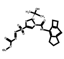 CC(C)(C)OC(=O)N=NS(=O)(=O)C1=CN(C(=O)Nc2c3c(cc4c2CC4)CCC3)[C@@H](C(C)(C)O)S1